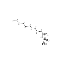 CCCCCCCCCCN(C)CC(=O)O